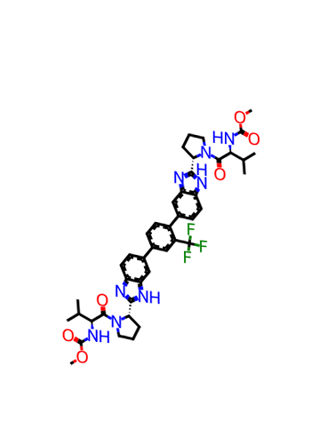 COC(=O)N[C@H](C(=O)N1CCC[C@H]1c1nc2cc(-c3ccc(-c4ccc5nc([C@@H]6CCCN6C(=O)[C@@H](NC(=O)OC)C(C)C)[nH]c5c4)cc3C(F)(F)F)ccc2[nH]1)C(C)C